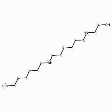 NCCCCCCNCCCCCCNCCO